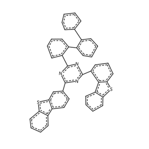 c1ccc(-c2ccccc2-c2ccccc2-c2nc(-c3ccc4c(c3)sc3ccccc34)nc(-c3cccc4sc5ccccc5c34)n2)cc1